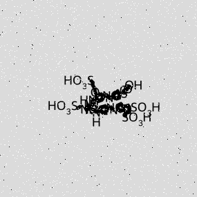 O=S(=O)(O)CCCOc1cc(N=Nc2ccc(SOOO)cc2)ccc1Nc1nc(NCCS(=O)(=O)O)nc(Nc2ccc(N=Nc3ccc4cc(S(=O)(=O)O)cc(S(=O)(=O)O)c4c3)cc2)n1